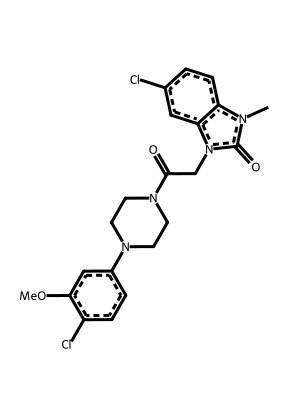 COc1cc(N2CCN(C(=O)Cn3c(=O)n(C)c4ccc(Cl)cc43)CC2)ccc1Cl